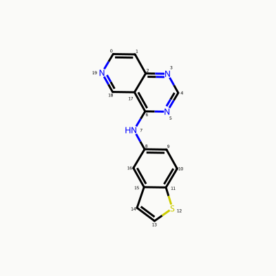 c1cc2ncnc(Nc3ccc4sccc4c3)c2cn1